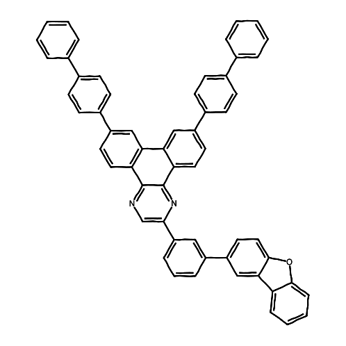 c1ccc(-c2ccc(-c3ccc4c(c3)c3cc(-c5ccc(-c6ccccc6)cc5)ccc3c3nc(-c5cccc(-c6ccc7oc8ccccc8c7c6)c5)cnc43)cc2)cc1